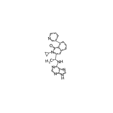 C[C@H](Nc1ncnc2[nH]cnc12)c1cc2cccc(-c3cccnc3)c2c(=O)n1C1CC1